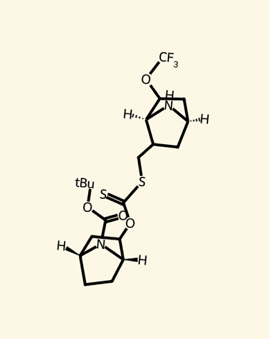 CC(C)(C)OC(=O)N1[C@@H]2CC[C@H]1C(OC(=S)SCC1C[C@@H]3CC(OC(F)(F)F)[C@H]1N3)C2